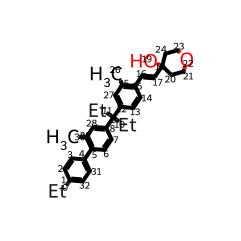 CCc1ccc(-c2ccc(C(CC)(CC)c3ccc(/C=C/C4(O)CCOCC4)c(C)c3)cc2C)cc1